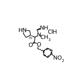 CN(C=N)C(C(=O)OCc1ccc([N+](=O)[O-])cc1)[C@H]1CCNC1.Cl